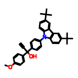 C#CC(O)(c1ccc(OC)cc1)c1ccc(-n2c3ccc(C(C)(C)C)cc3c3cc(C(C)(C)C)ccc32)cc1